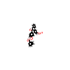 O=C(Oc1ccc(C(=O)C(Cc2ccccc2)c2ccc(O)cc2)cc1)c1ccccc1